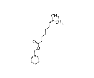 CC(C)=CCCCCCC(=O)OCc1ccccc1